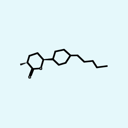 CCCCCC1CCC([C@@H]2CC[C@@H](C)C(=O)O2)CC1